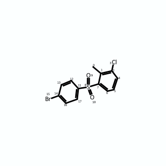 Cc1c(Cl)cccc1S(=O)(=O)c1ccc(Br)cc1